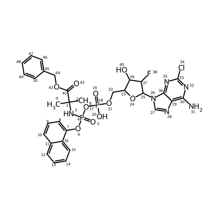 CC(C)(NP(=O)(Oc1cccc2ccccc12)OP(=O)(O)OCC1OC(n2cnc3c(N)nc(Cl)nc32)C(F)C1O)C(=O)OCc1ccccc1